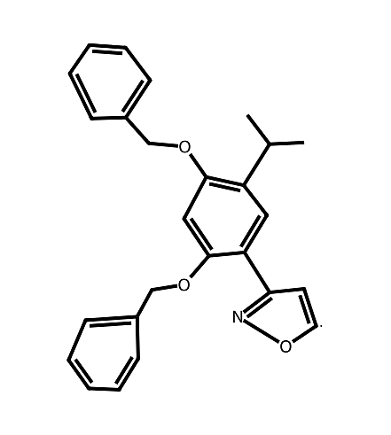 CC(C)c1cc(-c2c[c]on2)c(OCc2ccccc2)cc1OCc1ccccc1